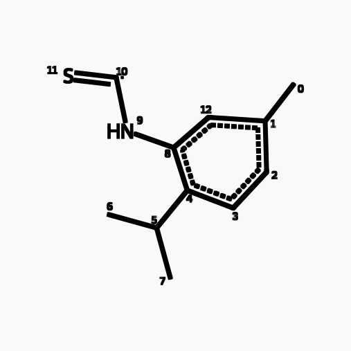 Cc1ccc(C(C)C)c(N[C]=S)c1